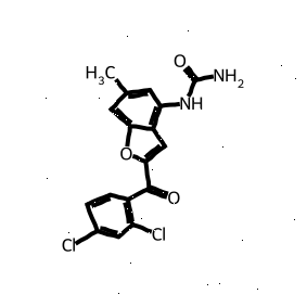 Cc1cc(NC(N)=O)c2cc(C(=O)c3ccc(Cl)cc3Cl)oc2c1